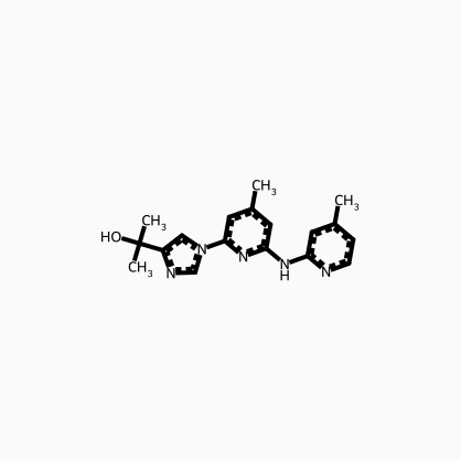 Cc1ccnc(Nc2cc(C)cc(-n3cnc(C(C)(C)O)c3)n2)c1